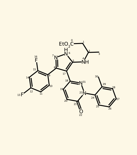 CCOC(=O)CC(C)Nc1[nH]nc(-c2ccc(F)cc2F)c1-c1ccc(=O)n(-c2ccccc2C)n1